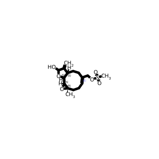 C=C1C(O)O[C@H]2[C@H]1CC/C(COS(C)(=O)=O)=C\CC[C@@]1(C)O[C@@H]21